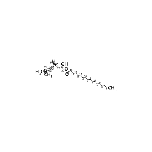 CCCCCCCCCCCCCCCCCC(=O)OCC(O)CO[PH](=O)OCC[N+](C)(C)C